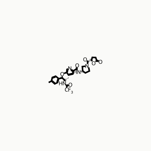 Cc1ccc([C@@H](Oc2ccc(C(=O)N[C@H]3CCCN(C(=O)[C@@H]4CCC(=O)O4)C3)nc2)[C@H](C)NC(=O)C(F)(F)F)cc1